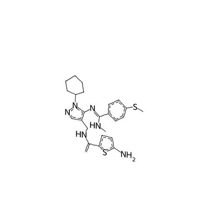 C=C(NCc1cnn(C2CCCCC2)c1/N=C(\NC)c1ccc(SC)cc1)c1ccc(N)s1